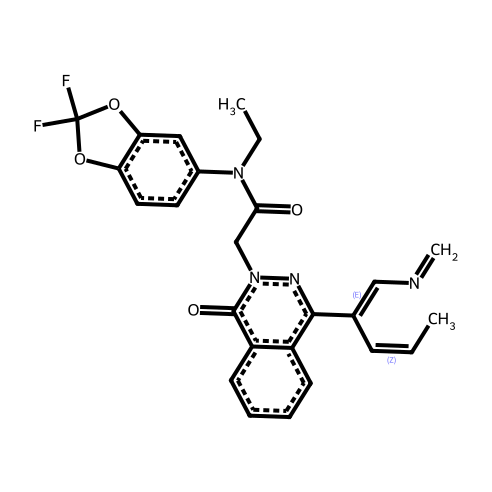 C=N/C=C(\C=C/C)c1nn(CC(=O)N(CC)c2ccc3c(c2)OC(F)(F)O3)c(=O)c2ccccc12